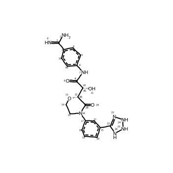 N=C(N)c1ccc(NC(=O)[C@H](O)[C@H]2OCCN(c3cccc(C4=NNNN4)c3)C2=O)cc1